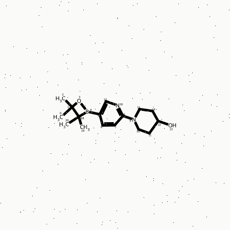 CC1(C)OB(c2ccc(N3CCC(O)CC3)nc2)C1(C)C